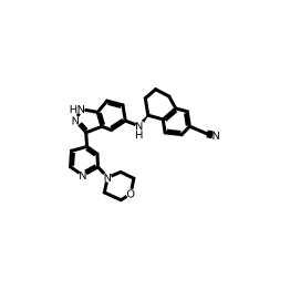 N#Cc1ccc2c(c1)CCC[C@@H]2Nc1ccc2[nH]nc(-c3ccnc(N4CCOCC4)c3)c2c1